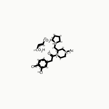 CC(=O)N1CCN(C(=O)Cc2ccc(Cl)c(Cl)c2)C(CN2CCCC2)C1.O=C(O)C=CC(=O)O